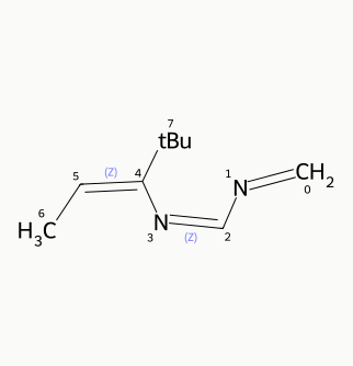 C=N/C=N\C(=C/C)C(C)(C)C